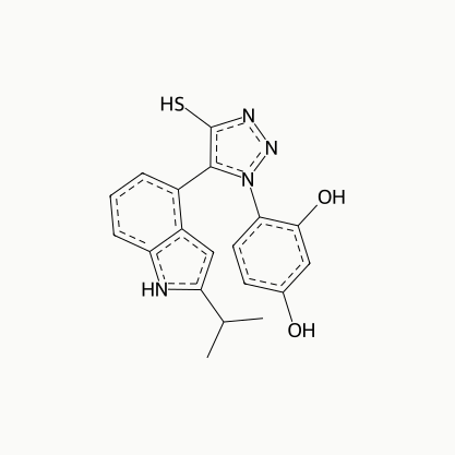 CC(C)c1cc2c(-c3c(S)nnn3-c3ccc(O)cc3O)cccc2[nH]1